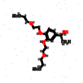 COCCOCCOc1ccc(C(O)C(=O)O)cc1OCCOCCOC